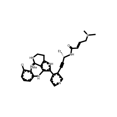 CC[C@@H](C#Cc1cnccc1-c1[nH]c2c(c1Nc1cccc(Cl)c1OC)C(=O)NCC2)NC(=O)/C=C/CN(C)C